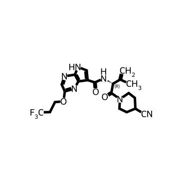 C=C(C)[C@@H](NC(=O)c1c[nH]c2ncc(OCCC(F)(F)F)nc12)C(=O)N1CCC(C#N)CC1